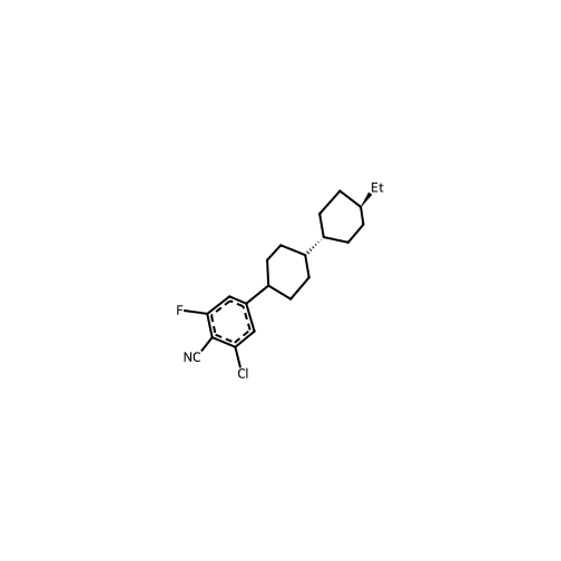 CC[C@H]1CC[C@H](C2CCC(c3cc(F)c(C#N)c(Cl)c3)CC2)CC1